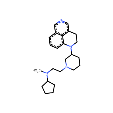 O=C(O)N(CCN1CCCC(N2CCc3cncc4cccc2c34)C1)C1CCCC1